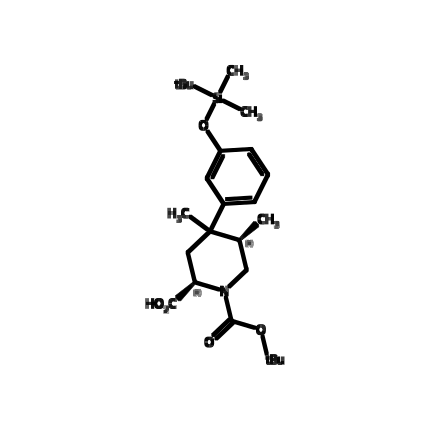 C[C@H]1CN(C(=O)OC(C)(C)C)[C@@H](C(=O)O)CC1(C)c1cccc(O[Si](C)(C)C(C)(C)C)c1